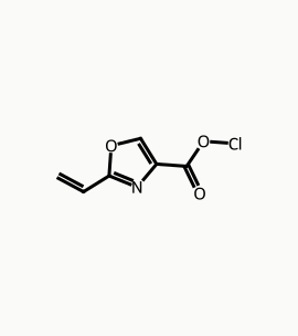 C=Cc1nc(C(=O)OCl)co1